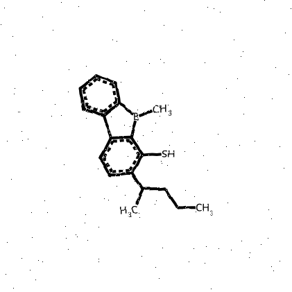 CCCC(C)c1ccc2c(c1S)B(C)c1ccccc1-2